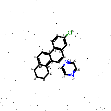 Clc1ccc2c(ccc3c4c(ccc32)CCCC4)c1.c1cnccn1